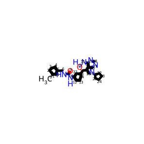 Cc1cccc(CNC(=O)Nc2cccc(C(=O)c3cn(C4CCCC4)c4ncnc(N)c34)c2)c1